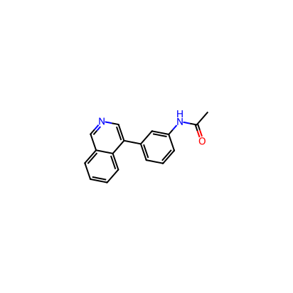 CC(=O)Nc1cccc(-c2cncc3ccccc23)c1